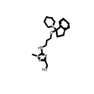 Cn1nc(CO)nc1NCCCOC1(N2CCCCC2)CCc2ccccc21